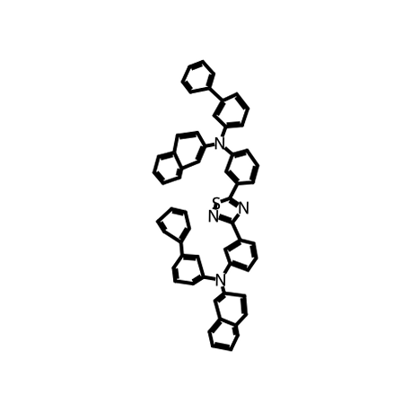 c1ccc(-c2cccc(N(c3cccc(-c4nsc(-c5cccc(N(c6cccc(-c7ccccc7)c6)c6ccc7ccccc7c6)c5)n4)c3)c3ccc4ccccc4c3)c2)cc1